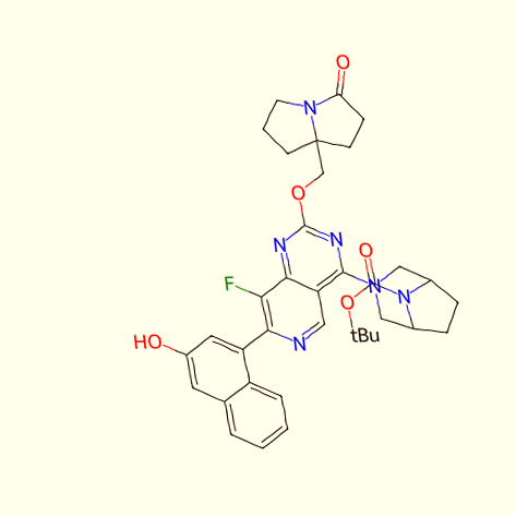 CC(C)(C)OC(=O)N1C2CCC1CN(c1nc(OCC34CCCN3C(=O)CC4)nc3c(F)c(-c4cc(O)cc5ccccc45)ncc13)C2